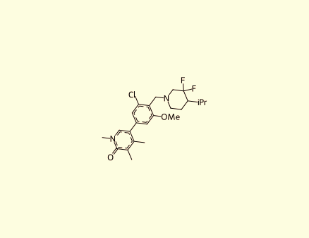 COc1cc(-c2cn(C)c(=O)c(C)c2C)cc(Cl)c1CN1CCC(C(C)C)C(F)(F)C1